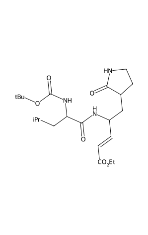 CCOC(=O)C=CC(CC1CCNC1=O)NC(=O)C(CC(C)C)NC(=O)OC(C)(C)C